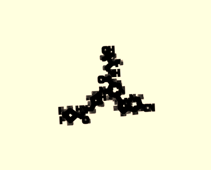 CC(C)(O)C(F)CNC(=O)c1cnc(-c2ccc3cc(C#N)cnn23)cc1NC1CC(CNC(=O)C2CC(F)(F)C2)C1